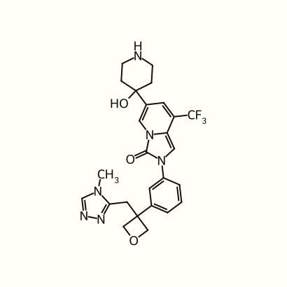 Cn1cnnc1CC1(c2cccc(-n3cc4c(C(F)(F)F)cc(C5(O)CCNCC5)cn4c3=O)c2)COC1